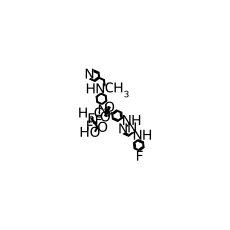 CC(Cc1ccncc1)NC1CCC(N(C)S(=O)(=O)c2ccc(Nc3nccc(Nc4ccc(F)cc4)n3)cc2)CC1.O=C(O)C(F)(F)F